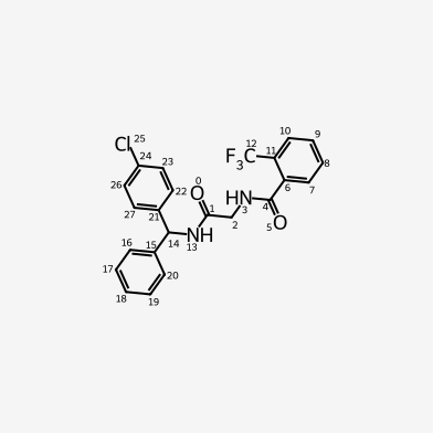 O=C(CNC(=O)c1ccccc1C(F)(F)F)NC(c1ccccc1)c1ccc(Cl)cc1